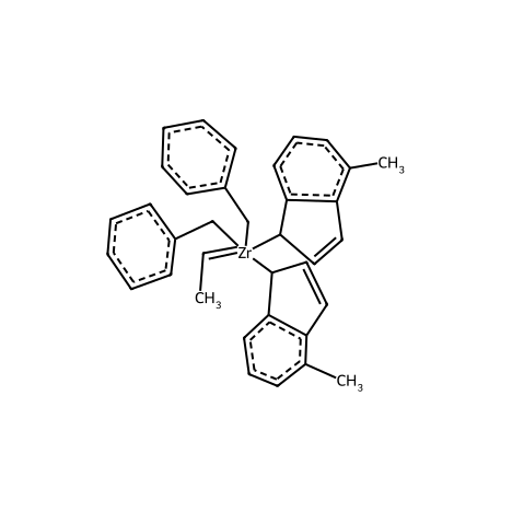 C[CH]=[Zr]([CH2]c1ccccc1)([CH2]c1ccccc1)([CH]1C=Cc2c(C)cccc21)[CH]1C=Cc2c(C)cccc21